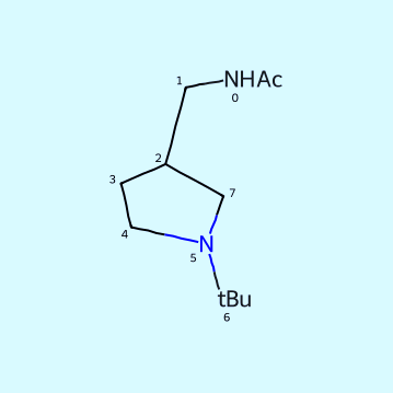 CC(=O)NCC1CCN(C(C)(C)C)C1